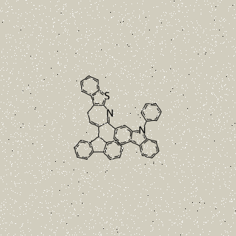 C1=C(C2c3ccccc3-c3ccccc32)C(c2ccc3c4ccccc4n(-c4ccccc4)c3c2)=Nc2sc3ccccc3c2C1